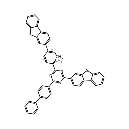 C=C(/C=C\C(=C/C)c1ccc2c(c1)sc1ccccc12)c1nc(-c2ccc(-c3ccccc3)cc2)nc(-c2ccc3c(c2)sc2ccccc23)n1